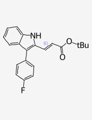 CC(C)(C)OC(=O)/C=C/c1[nH]c2ccccc2c1-c1ccc(F)cc1